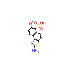 COc1ccc2c(ccc3sc(N)nc32)c1S(=O)(=O)O